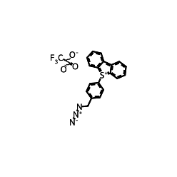 O=S(=O)([O-])C(F)(F)F.[N-]=[N+]=NCc1ccc(-[s+]2c3ccccc3c3ccccc32)cc1